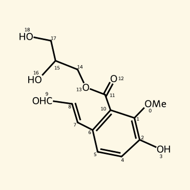 COc1c(O)ccc(C=CC=O)c1C(=O)OCC(O)CO